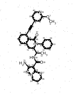 COc1cc(C#Cc2cccc3cc(C(C)NC(=O)c4c(N)nn5cccnc45)n(-c4ccccc4)c(=O)c23)ccn1